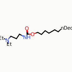 CCCCCCCCCCCCCCCCOC(=O)NCCCN(CC)CC